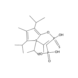 CC1=C(C(C)C)S(C(C)C)(C(C)C)C(OP(O)(=S)CP(=O)(O)O)=C1C(C)C